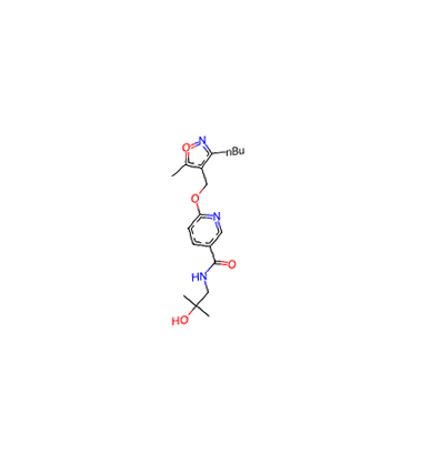 CCCCc1noc(C)c1COc1ccc(C(=O)NCC(C)(C)O)cn1